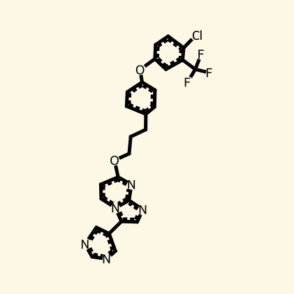 FC(F)(F)c1cc(Oc2ccc(CCCOc3ccn4c(-c5cncnc5)cnc4n3)cc2)ccc1Cl